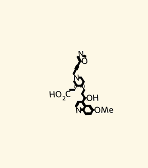 COc1ccc2nccc([C@H](O)CC[C@@H]3CCN(CC#Cc4cnco4)C[C@H]3CCC(=O)O)c2c1